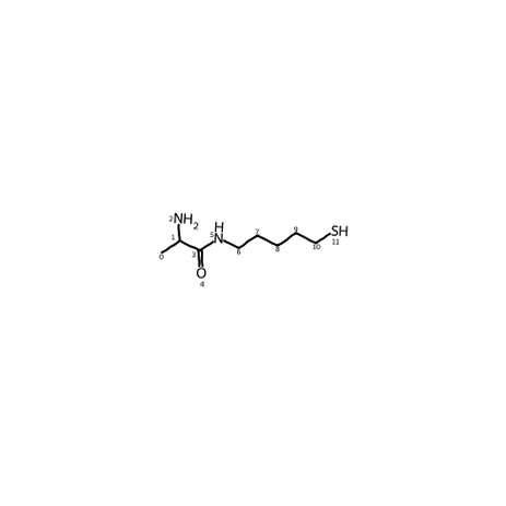 CC(N)C(=O)NCCCCCS